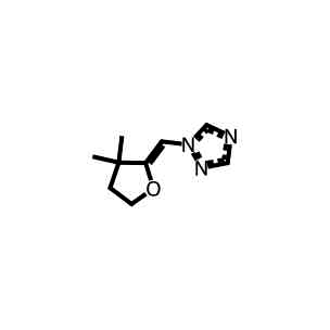 CC1(C)CCOC1=Cn1cncn1